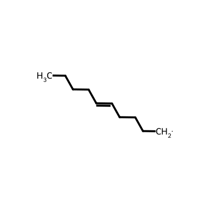 [CH2]CCCC=CCCCC